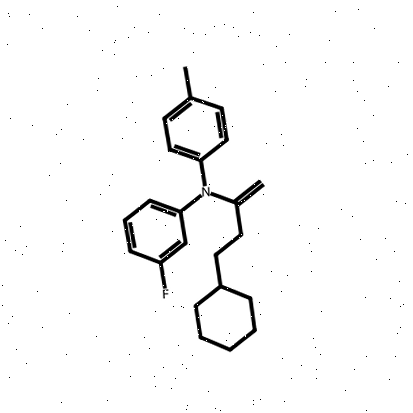 C=C(CCC1CCCCC1)N(c1ccc(C)cc1)c1cccc(F)c1